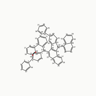 c1ccc(-c2ccc(N(c3ccccc3-c3ccccc3)c3cc4ccccc4c4c3c3cc(-c5ccccc5)ccc3n4-c3cccc4ccccc34)cc2)cc1